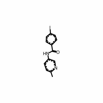 Cc1ccc(NC(=O)c2ccc(I)cc2)cn1